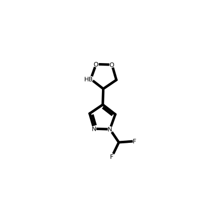 FC(F)n1cc(C2BOOC2)cn1